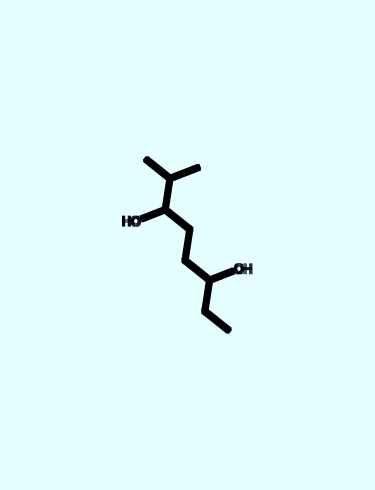 CCC(O)CCC(O)C(C)C